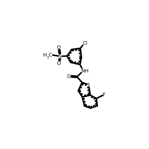 CS(=O)(=O)c1cc(Cl)cc(NC(=O)c2cc3cccc(F)c3s2)c1